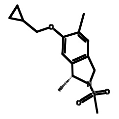 Cc1cc2c(cc1OCC1CC1)[C@@H](C)N(S(C)(=O)=O)C2